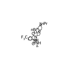 CCC[C@@H]1C[C@H](N(C)C(C)C)CC[C@@H]1N1CCC(NC(=O)c2cc(C(F)(F)F)ccc2NC(=O)NC2CC2)C1=O